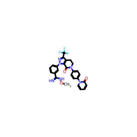 CONC(=N)c1cccc(-n2nc(C(F)(F)F)c3c2C(=O)N(c2ccc(-n4ccccc4=O)cc2)CC3)c1